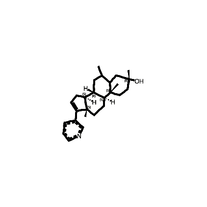 CC1C[C@@H]2[C@H](CC[C@]3(C)C(c4cccnc4)=CC[C@@H]23)[C@@]2(C)CC[C@@](C)(O)CC12